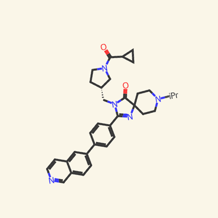 CC(C)N1CCC2(CC1)N=C(c1ccc(-c3ccc4cnccc4c3)cc1)N(C[C@@H]1CCN(C(=O)C3CC3)C1)C2=O